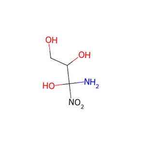 NC(O)(C(O)CO)[N+](=O)[O-]